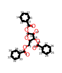 O=C(OCC1OC(OC(=O)c2ccccc2)C(=O)C1OC(=O)c1ccccc1)c1ccccc1